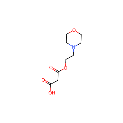 O=C(O)CC(=O)OCCN1CCOCC1